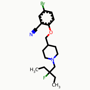 CCC(F)(CC)CN1CCC(COc2ccc(Br)cc2C#N)CC1